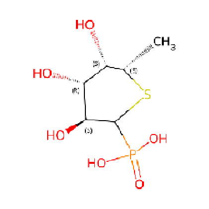 C[C@@H]1SC(P(=O)(O)O)[C@@H](O)[C@H](O)[C@@H]1O